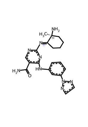 C[C@]1(N)CCCC/C1=N\c1ncc(C(N)=O)c(Nc2cccc(-n3nccn3)c2)n1